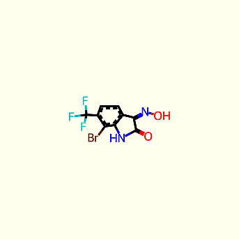 O=C1Nc2c(ccc(C(F)(F)F)c2Br)C1=NO